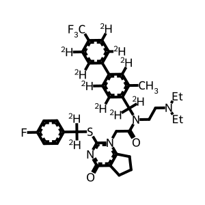 [2H]c1c([2H])c(C(F)(F)F)c([2H])c([2H])c1-c1c([2H])c([2H])c(C([2H])([2H])N(CCN(CC)CC)C(=O)Cn2c(SC([2H])([2H])c3ccc(F)cc3)nc(=O)c3c2CCC3)c(C)c1[2H]